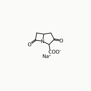 O=C([O-])C1C(=O)CC2CC(=O)N21.[Na+]